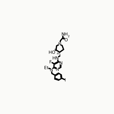 CCN(Cc1ccc(I)cc1)c1ncnc(NC[C@H]2CCN(CC(N)=O)C[C@@H]2O)c1F